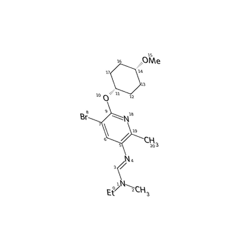 CCN(C)/C=N/c1cc(Br)c(O[C@H]2CC[C@@H](OC)CC2)nc1C